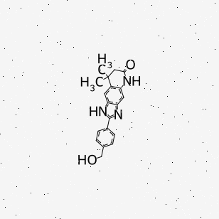 CC1(C)CC(=O)Nc2cc3nc(-c4ccc(CO)cc4)[nH]c3cc21